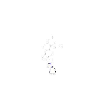 COCC12CCC(C)CC1CCC1C3CCC(c4cn5ccccc5n4)C3(C)CCC12